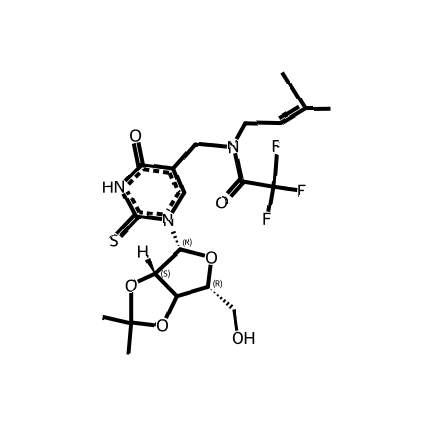 CC(C)=CCN(Cc1cn([C@@H]2O[C@H](CO)C3OC(C)(C)O[C@@H]32)c(=S)[nH]c1=O)C(=O)C(F)(F)F